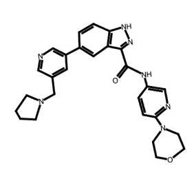 O=C(Nc1ccc(N2CCOCC2)nc1)c1n[nH]c2ccc(-c3cncc(CN4CCCC4)c3)cc12